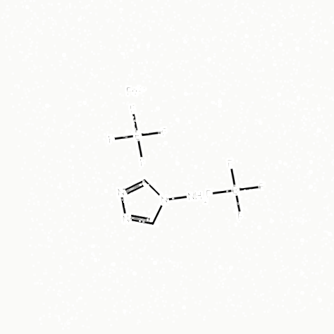 F[B-](F)(F)F.F[B-](F)(F)F.Nn1cnnc1.[Fe+2]